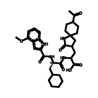 COc1cccc2[nH]c(C(=O)N[C@@H](CC3CCCCC3)C(=O)NC(CC3CC4(CCN(C(C)=O)CC4)NC3=O)C(=O)O)cc12